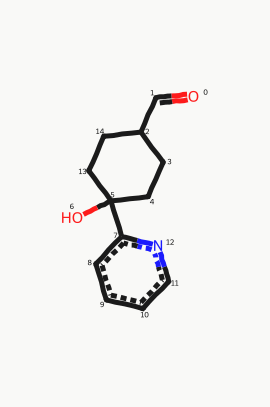 O=CC1CCC(O)(c2ccccn2)CC1